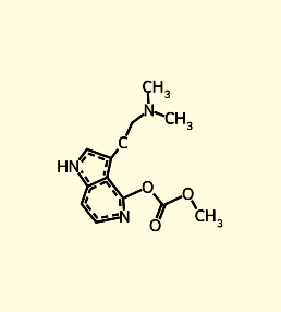 COC(=O)Oc1nccc2[nH]cc(CCN(C)C)c12